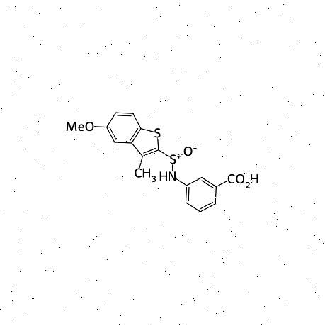 COc1ccc2sc([S+]([O-])Nc3cccc(C(=O)O)c3)c(C)c2c1